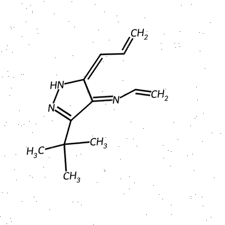 C=C/C=C1/NN=C(C(C)(C)C)/C1=N/C=C